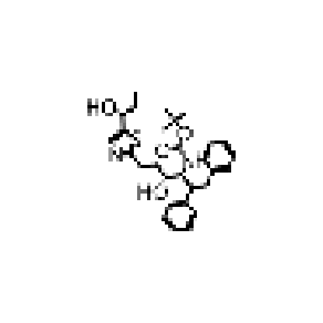 CCC(O)c1cnc(CC[C@H](O)[C@@H](NC(=O)OC(C)(C)C)C(Cc2ccccc2)c2ccccc2)s1